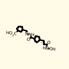 O=C(/C=C/c1ccc(C(=O)N/N=C/c2cccc(C(=O)O)c2)cc1)NO